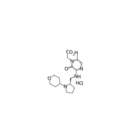 Cc1cnc(NC[C@H]2CCCN2C2CCOCC2)c(=O)n1CC(=O)O.Cl